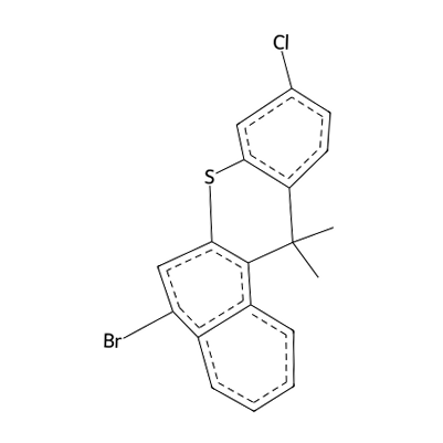 CC1(C)c2ccc(Cl)cc2Sc2cc(Br)c3ccccc3c21